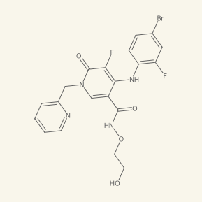 O=C(NOCCO)c1cn(Cc2ccccn2)c(=O)c(F)c1Nc1ccc(Br)cc1F